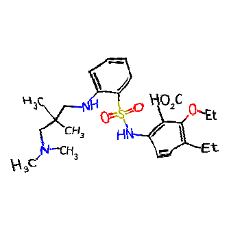 CCOc1c(CC)ccc(NS(=O)(=O)c2ccccc2NCC(C)(C)CN(C)C)c1C(=O)O